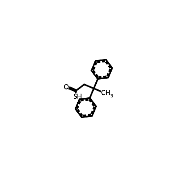 CC(CC(=O)S)(c1ccccc1)c1ccccc1